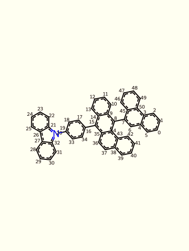 c1ccc2c(c1)cc(-c1c3ccccc3c(-c3ccc(-n4c5ccccc5c5ccccc54)cc3)c3ccc4ccccc4c13)c1ccccc12